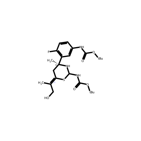 C/C(CO)=C1\C[C@@](C)(c2cc(NC(=O)OC(C)(C)C)ccc2F)NC(NC(=O)OC(C)(C)C)S1